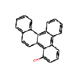 [O]c1cccc2c3ccccc3c3c4ccccc4ccc3c12